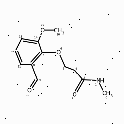 CNC(=O)CCOc1c(C=O)cccc1OC